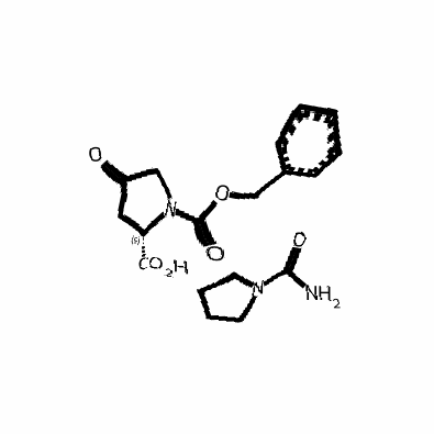 NC(=O)N1CCCC1.O=C1C[C@@H](C(=O)O)N(C(=O)OCc2ccccc2)C1